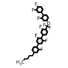 CCCCCc1ccc(-c2cc(F)c(-c3ccc(C(F)(F)Oc4ccc(-c5ccc(F)c(F)c5)c(F)c4)c(F)c3)c(F)c2)c(F)c1